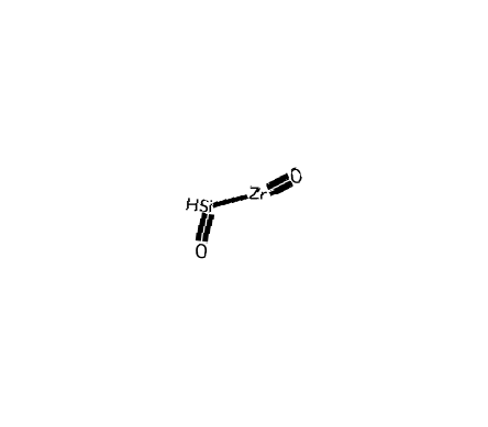 O=[SiH][Zr]=[O]